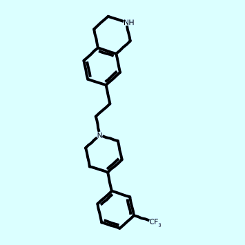 FC(F)(F)c1cccc(C2=CCN(CCc3ccc4c(c3)CNCC4)CC2)c1